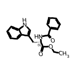 CCOC(=O)[C@H](Cc1c[nH]c2ccccc12)NC(=O)c1ccccc1